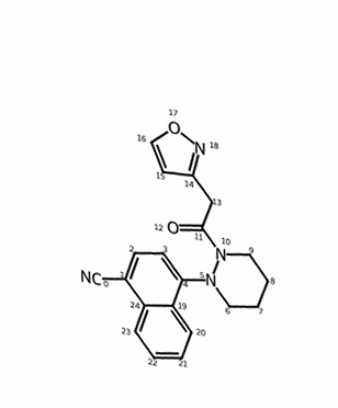 N#Cc1ccc(N2CCCCN2C(=O)Cc2ccon2)c2ccccc12